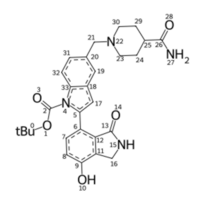 CC(C)(C)OC(=O)n1c(-c2ccc(O)c3c2C(=O)NC3)cc2cc(CN3CCC(C(N)=O)CC3)ccc21